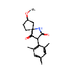 CCCCOC1CCC2(C1)NC(=O)C(c1c(C)cc(C)cc1C)C2=O